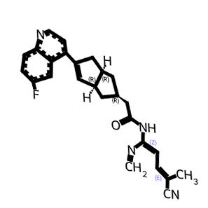 C=N/C(=C\C=C(/C)C#N)NC(=O)C[C@@H]1C[C@@H]2CC(c3ccnc4ccc(F)cc34)=C[C@@H]2C1